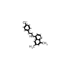 Cc1cc(C)c2nccc(NCCc3ccc(Cl)cc3)c2c1